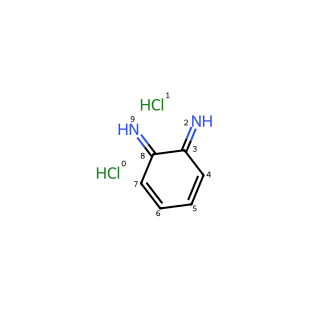 Cl.Cl.N=C1C=CC=CC1=N